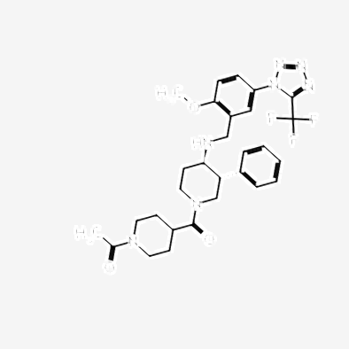 COc1ccc(-n2nnnc2C(F)(F)F)cc1CN[C@@H]1CCN(C(=O)C2CCN(C(C)=O)CC2)C[C@H]1c1ccccc1